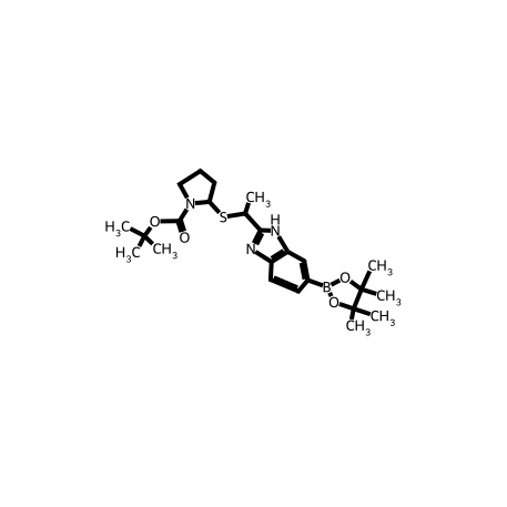 CC(SC1CCCN1C(=O)OC(C)(C)C)c1nc2ccc(B3OC(C)(C)C(C)(C)O3)cc2[nH]1